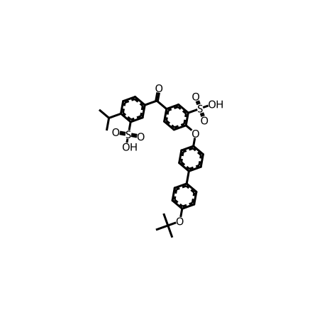 CC(C)c1ccc(C(=O)c2ccc(Oc3ccc(-c4ccc(OC(C)(C)C)cc4)cc3)c(S(=O)(=O)O)c2)cc1S(=O)(=O)O